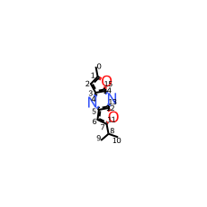 Cc1cc2nc3cc(C(C)C)oc3nc2o1